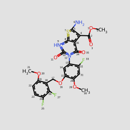 COC(=O)c1c(N)sc2[nH]c(=O)n(-c3cc(OCc4c(OC)ccc(F)c4F)c(OC)cc3F)c(=O)c12